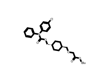 CC(C)(C)OC(=O)COC[C@H]1CC[C@H](COC(=O)N(c2ccccc2)c2ccc(Cl)cc2)CC1